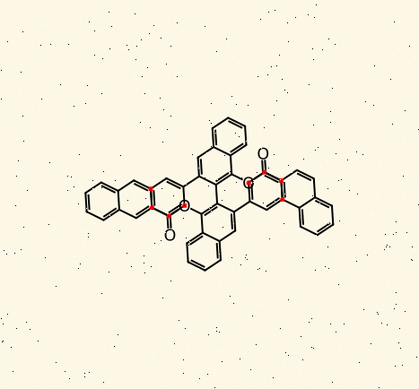 O=C(Oc1c(-c2c(-c3ccccc3)cc3ccccc3c2OC(=O)c2ccc3ccccc3c2)c(-c2ccccc2)cc2ccccc12)c1ccc2ccccc2c1